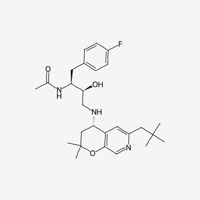 CC(=O)N[C@@H](Cc1ccc(F)cc1)[C@@H](O)CN[C@H]1CC(C)(C)Oc2cnc(CC(C)(C)C)cc21